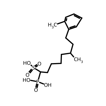 Cc1ccccc1CCC(C)CCCCC(P(=O)(O)O)S(=O)(=O)O